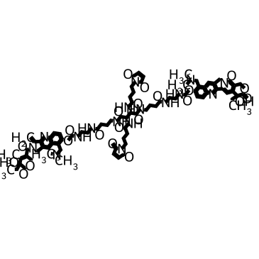 C=C1c2nc3ccc(OC(=O)NCCNC(=O)CCCNC(=O)[C@@H](NC(=O)CCCN4C(=O)C=CC4=O)[C@H](NC(=O)CCCN4C(=O)C=CC4=O)C(=O)NCCCC(=O)NCCNC(=O)Oc4ccc5nc6c(cc5c4CN(C)C)Cn4c-6cc5c(c4=O)COC(=O)[C@]5(O)CC)c(CN(C)C)c3cc2CN1C(=O)C1=C(C)[C@@](O)(CC)C(=O)OC1